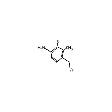 Cc1c(CC(C)C)ccc(N)c1Br